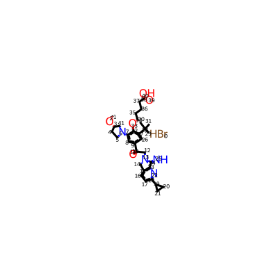 Br.COC1CCN(c2cc(C(=O)CN3Cc4ccc(C5CC5)nc4C3=N)cc(C(C)(C)C)c2OCCCCC(=O)O)C1